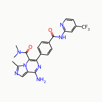 Cc1ncc2c(N)nc(-c3ccc(C(=O)Nc4cc(C(F)(F)F)ccn4)cc3)c(C(=O)N(C)C)n12